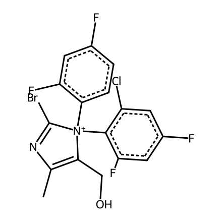 CC1=C(CO)[N+](c2ccc(F)cc2F)(c2c(F)cc(F)cc2Cl)C(Br)=N1